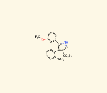 CCOC(=O)c1c[nH]c(-c2cccc(OC(F)(F)F)c2)c1-c1ccccc1[N+](=O)[O-]